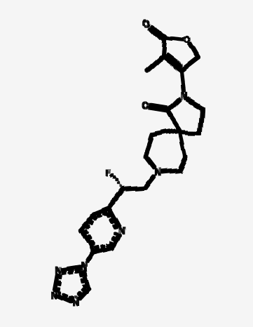 CC1=C(N2CCC3(CCN(C[C@@H](F)c4ccc(-n5cnnn5)cn4)CC3)C2=O)COC1=O